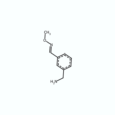 CON=Cc1[c]ccc(CN)c1